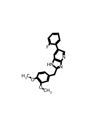 COc1ccc(Cc2nc3ncc(-c4ccccc4F)cc3[nH]2)cc1OC